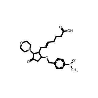 C[S+]([O-])c1ccc(COC2CC(=O)C(N3CCOCC3)C2CC=CCCCC(=O)O)cc1